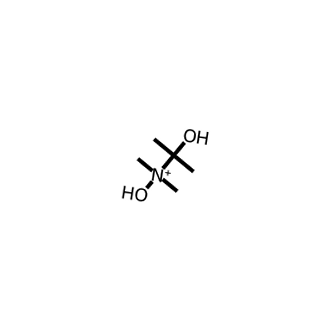 CC(C)(O)[N+](C)(C)O